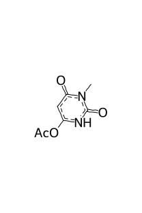 CC(=O)Oc1cc(=O)n(C)c(=O)[nH]1